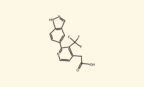 O=C(O)Cc1ccnc(-c2ccc3[nH]ncc3c2)c1C(F)(F)F